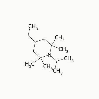 CCC1CC(C)(C)N(C(C)C)C(C)(C)C1